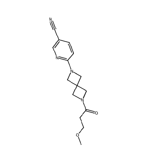 COCCC(=O)N1CC2(C1)CN(c1ccc(C#N)cn1)C2